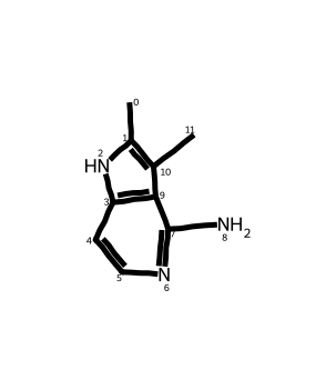 Cc1[nH]c2ccnc(N)c2c1C